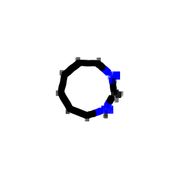 C1CCC[NH][Pb][NH]CC1